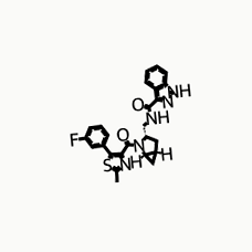 Cc1nc(C(=O)N2[C@H](CNC(=O)c3n[nH]c4ccccc34)C[C@@H]3C[C@@H]32)c(-c2cccc(F)c2)s1